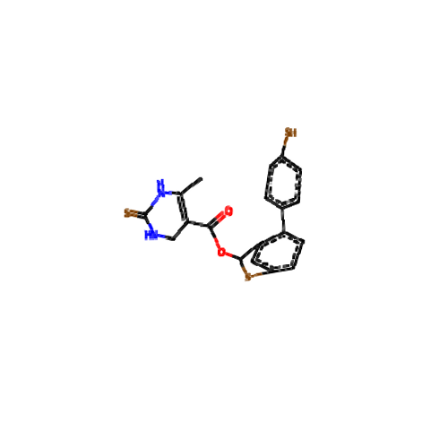 CC1=C(C(=O)OC2Sc3ccc(-c4ccc(S)cc4)c2c3)CNC(=S)N1